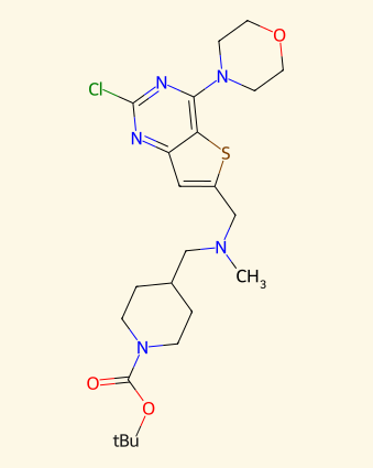 CN(Cc1cc2nc(Cl)nc(N3CCOCC3)c2s1)CC1CCN(C(=O)OC(C)(C)C)CC1